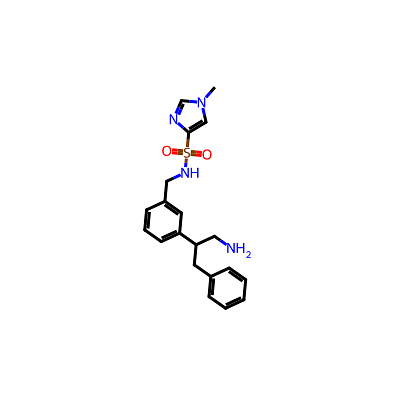 Cn1cnc(S(=O)(=O)NCc2cccc(C(CN)Cc3ccccc3)c2)c1